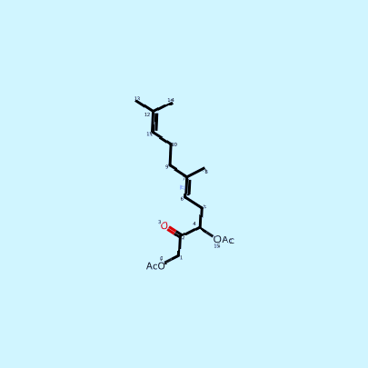 CC(=O)OCC(=O)C(C/C=C(\C)CCC=C(C)C)OC(C)=O